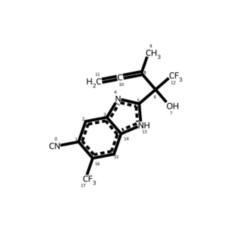 [C-]#[N+]c1cc2nc(C(O)(C(C)=C=C)C(F)(F)F)[nH]c2cc1C(F)(F)F